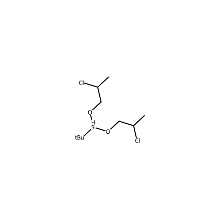 CC(Cl)CO[SiH](OCC(C)Cl)C(C)(C)C